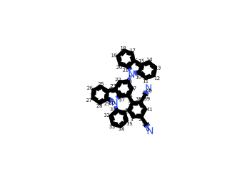 N#Cc1ccc(-c2cc(-n3c4ccccc4c4ccccc43)cc3c4ccccc4n(-c4ccccc4)c23)c(C#N)c1